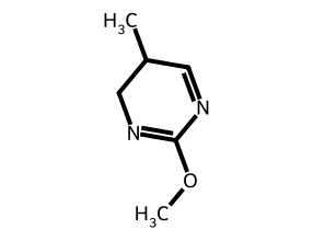 COC1=NCC(C)C=N1